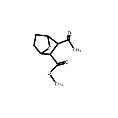 COC(=O)C1C2CCC(O2)C1C(C)=O